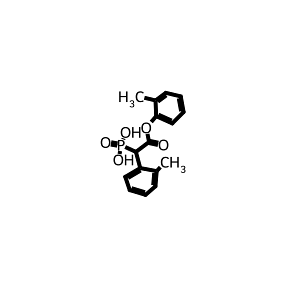 Cc1ccccc1OC(=O)C(c1ccccc1C)P(=O)(O)O